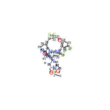 C=CS(=O)(=O)N1C[C@H](C)N(c2nc(=O)n3c4nc(c(F)cc24)-c2c(ccc(F)c2F)OCC(F)(F)CCc2ccnc(C(C)C)c2-3)C[C@H]1C